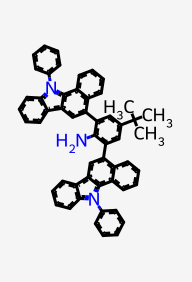 CC(C)(C)c1cc(-c2cc3c4ccccc4n(-c4ccccc4)c3c3ccccc23)c(N)c(-c2cc3c4ccccc4n(-c4ccccc4)c3c3ccccc23)c1